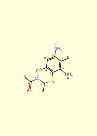 CC(=O)NC(C)Sc1c(Cl)cc(N)c(C)c1N